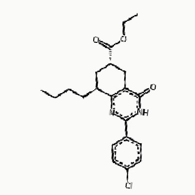 CCCC[C@H]1C[C@H](C(=O)OCC)Cc2c1nc(-c1ccc(Cl)cc1)[nH]c2=O